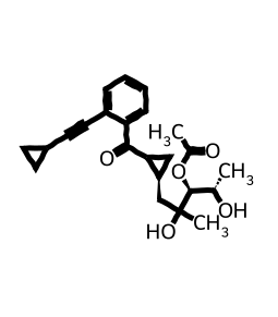 CC(=O)O[C@@H]([C@H](C)O)C(C)(O)C[C@@H]1CC1C(=O)c1ccccc1C#CC1CC1